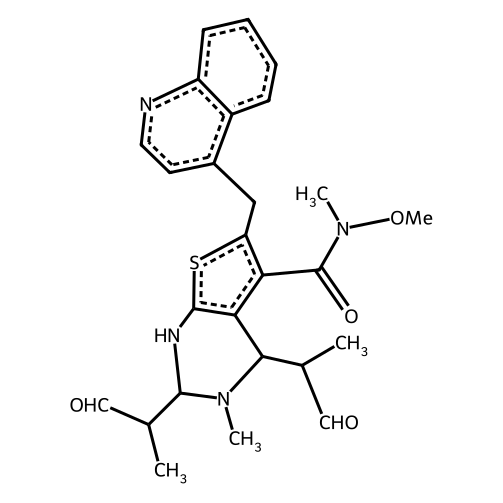 CON(C)C(=O)c1c(Cc2ccnc3ccccc23)sc2c1C(C(C)C=O)N(C)C(C(C)C=O)N2